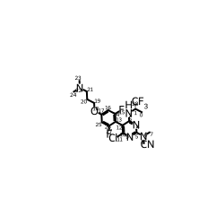 C[C@H](Nc1nc(N(C)C#N)nc(Cl)c1-c1c(F)cc(OCCCN(C)C)cc1F)C(F)(F)F